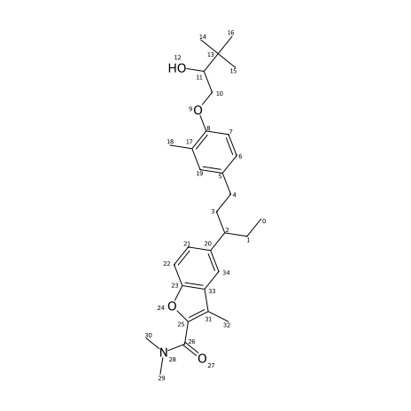 CCC(CCc1ccc(OCC(O)C(C)(C)C)c(C)c1)c1ccc2oc(C(=O)N(C)C)c(C)c2c1